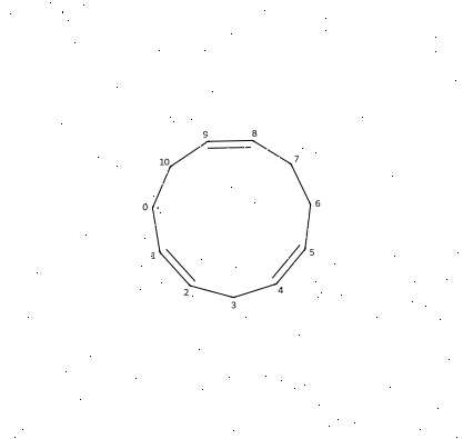 [CH]1/C=C\C/C=C\CC/C=C\C1